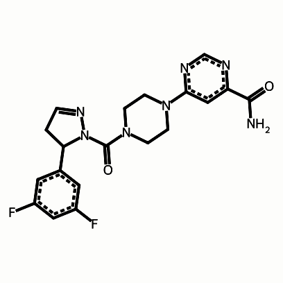 NC(=O)c1cc(N2CCN(C(=O)N3N=CCC3c3cc(F)cc(F)c3)CC2)ncn1